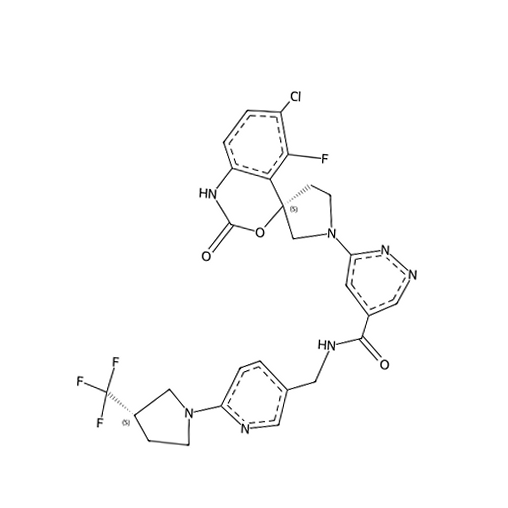 O=C1Nc2ccc(Cl)c(F)c2[C@]2(CCN(c3cc(C(=O)NCc4ccc(N5CC[C@H](C(F)(F)F)C5)nc4)cnn3)C2)O1